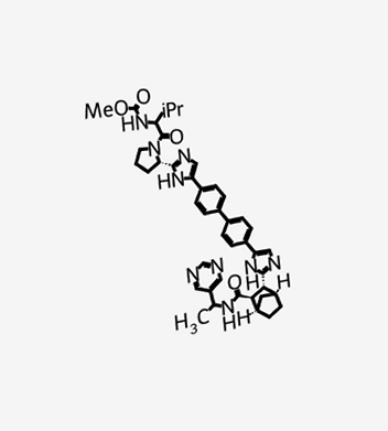 COC(=O)NC(C(=O)N1CCC[C@H]1c1ncc(-c2ccc(-c3ccc(-c4cnc([C@@H]5[C@H]6CC[C@H](C6)[C@H]5C(=O)NC(C)c5cncnc5)[nH]4)cc3)cc2)[nH]1)C(C)C